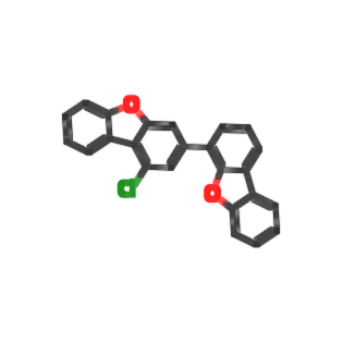 Clc1cc(-c2cccc3c2oc2ccccc23)cc2oc3ccccc3c12